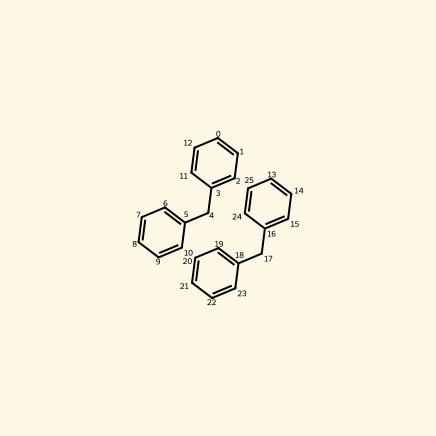 c1ccc(Cc2ccccc2)cc1.c1ccc(Cc2ccccc2)cc1